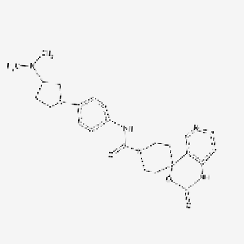 CN(C)C1CCN(c2ccc(NC(=O)N3CCC4(CC3)OC(=O)Nc3ccncc34)cc2)C1